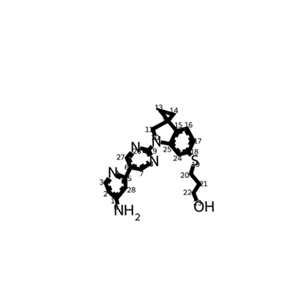 Nc1ccnc(-c2cnc(N3CC4(CC4)c4ccc(SCCCO)cc43)nc2)c1